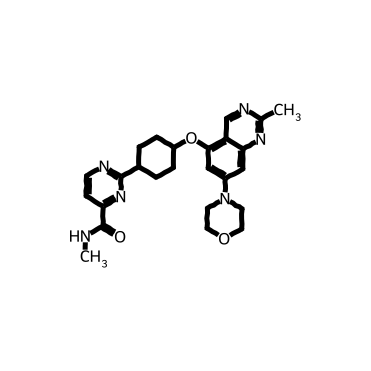 CNC(=O)c1ccnc(C2CCC(Oc3cc(N4CCOCC4)cc4nc(C)ncc34)CC2)n1